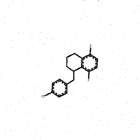 Fc1ccc(F)c2c1CCCC2Cc1ccc(Cl)cc1